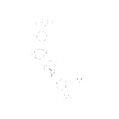 CCNc1ccc(-c2cncc(C(=O)N/N=C/c3cc(OC)cc(OC)c3)n2)cc1